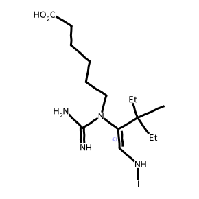 CCC(C)(CC)/C(=C\NI)N(CCCCCC(=O)O)C(=N)N